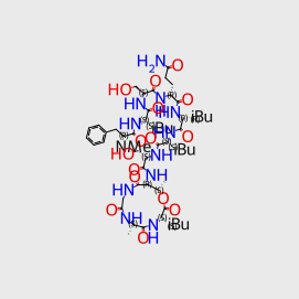 CC[C@@H](C)[C@@H](NC(=O)[C@@H](CCC(N)=O)NC(=O)[C@H](CO)NC(=O)[C@@H](NC(=O)[C@@H](Cc1ccccc1)NC)[C@@H](C)CC)C(=O)N[C@H](C(=O)N[C@@H](CO)C(=O)N[C@H]1C(=O)NCC(=O)N[C@@H](C)C(=O)N[C@@H]([C@@H](C)CC)C(=O)O[C@H]1C)[C@@H](C)CC